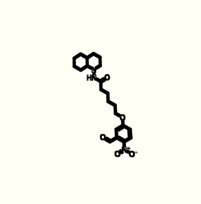 O=Cc1cc(OCCCCCC(=O)NN2CCCC3CCCCC32)ccc1[N+](=O)[O-]